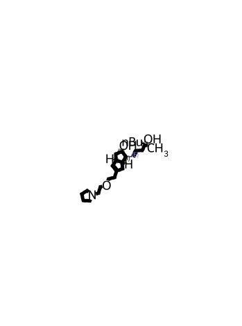 CCCC[C@](C)(O)C/C=C/[C@@H]1[C@H]2CC(CCOCCN3CCCC3)=C[C@H]2C[C@H]1O